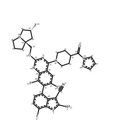 N#Cc1c(N)sc2c(F)ccc(-c3c(Cl)cc4c(N5CCC(C(=O)n6cccn6)CC5)nc(OC[C@@]56CCCN5C[C@H](F)C6)nc4c3F)c12